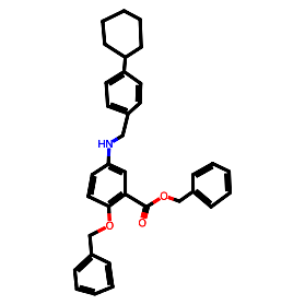 O=C(OCc1ccccc1)c1cc(NCc2ccc(C3CCCCC3)cc2)ccc1OCc1ccccc1